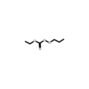 CCCOOC(=O)OCC